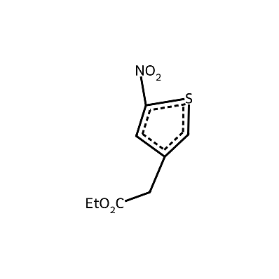 CCOC(=O)Cc1csc([N+](=O)[O-])c1